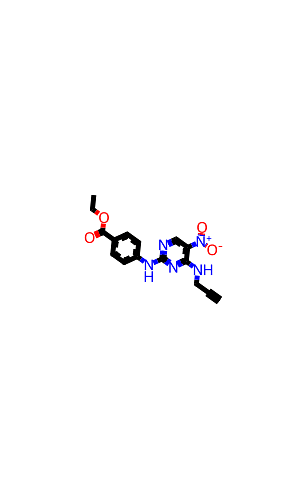 C#CCNc1nc(Nc2ccc(C(=O)OCC)cc2)ncc1[N+](=O)[O-]